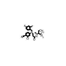 CCC(CC)NC[C@H](CC=O)N(Cc1ccc(F)cc1F)c1ccc(C#N)c(Cl)c1